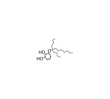 CCCCCCCC(CCCC)(CCCC)Oc1cccc(O)c1O